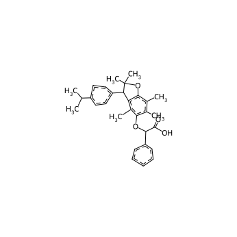 Cc1c(C)c2c(c(C)c1OC(C(=O)O)c1ccccc1)C(c1ccc(C(C)C)cc1)C(C)(C)O2